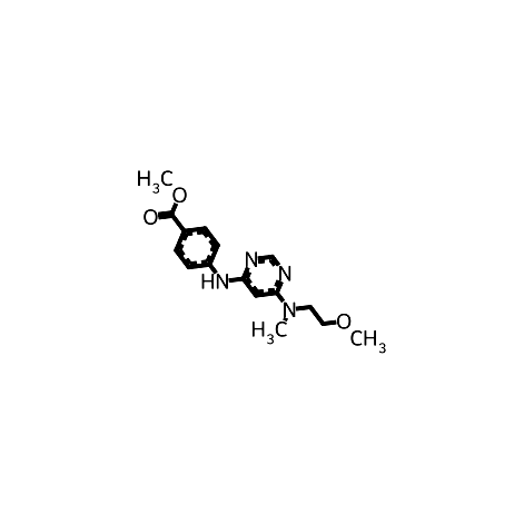 COCCN(C)c1cc(Nc2ccc(C(=O)OC)cc2)ncn1